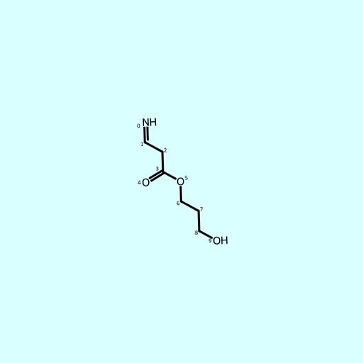 N=CCC(=O)OCCCO